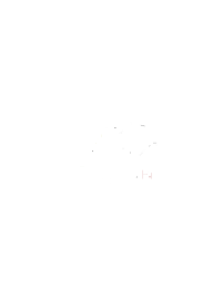 OC1c2c(Br)cccc2SC1(F)F